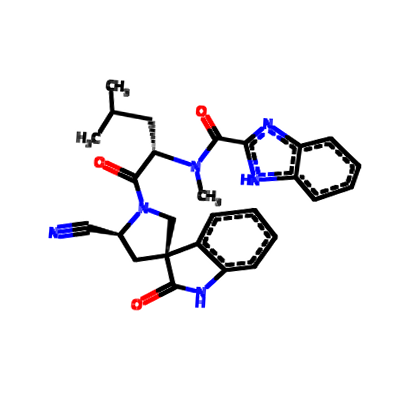 CC(C)C[C@@H](C(=O)N1C[C@]2(C[C@H]1C#N)C(=O)Nc1ccccc12)N(C)C(=O)c1nc2ccccc2[nH]1